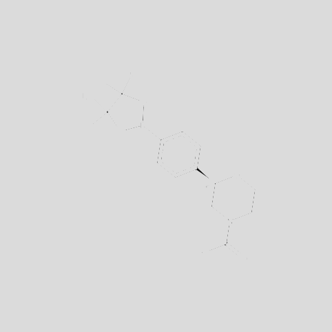 CC1(C)OB(c2ccc([C@@H]3CN(C(=O)O)CCO3)cc2)OC1(C)C